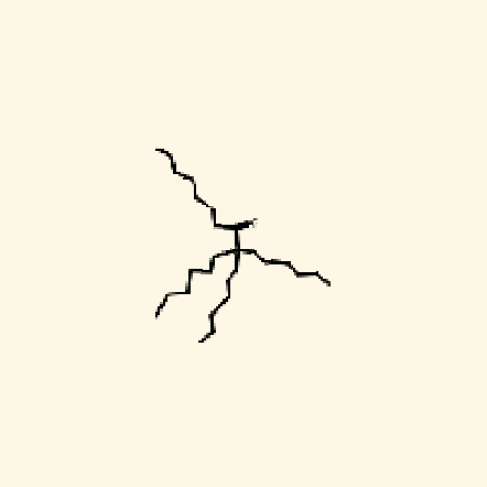 CCCCCCCC(=O)C(CCCCCC)(CCCCCC)CCCCCC